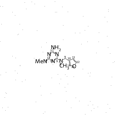 CNc1nc(N)nc(N(C)Cc2ccoc2)n1